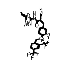 CCc1nnc(NC(=O)/C(C#N)=C\c2ccc(OCc3ccc(C(F)(F)F)cc3C(F)(F)F)c(OC)c2)o1